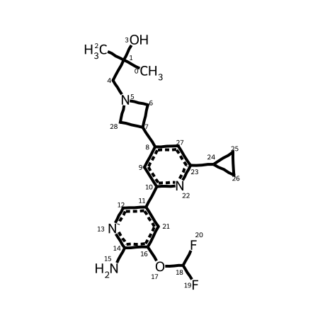 CC(C)(O)CN1CC(c2cc(-c3cnc(N)c(OC(F)F)c3)nc(C3CC3)c2)C1